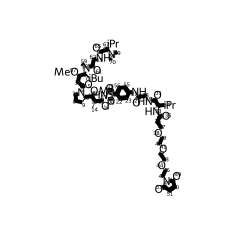 CC[C@H](C)[C@@H]([C@@H](CC(=O)N1CCC[C@H]1[C@H](OC)[C@@H](C)C(=O)NS(=O)(=O)c1ccc(NC(=O)CNC(=O)C(NC(=O)CCOCCOCCOCCN2C(=O)C=CC2=O)C(C)C)cc1)OC)N(C)C(=O)CNC(=O)C(C(C)C)N(C)C